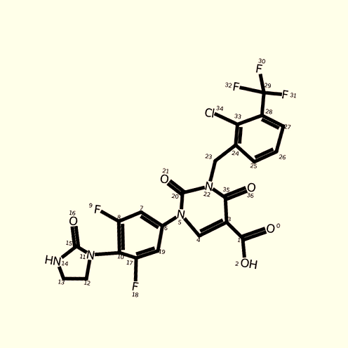 O=C(O)c1cn(-c2cc(F)c(N3CCNC3=O)c(F)c2)c(=O)n(Cc2cccc(C(F)(F)F)c2Cl)c1=O